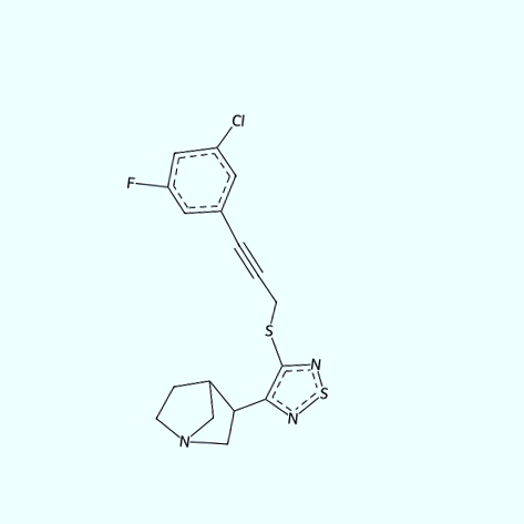 Fc1cc(Cl)cc(C#CCSc2nsnc2C2CN3CCC2C3)c1